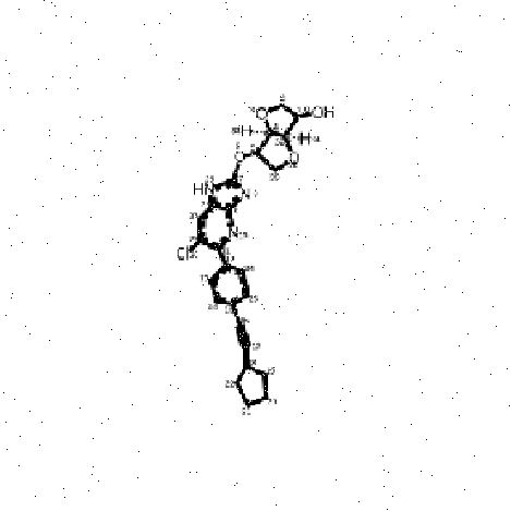 OC1CO[C@@H]2C(Oc3nc4nc(-c5ccc(C#CC6CCCC6)cc5)c(Cl)cc4[nH]3)CO[C@H]12